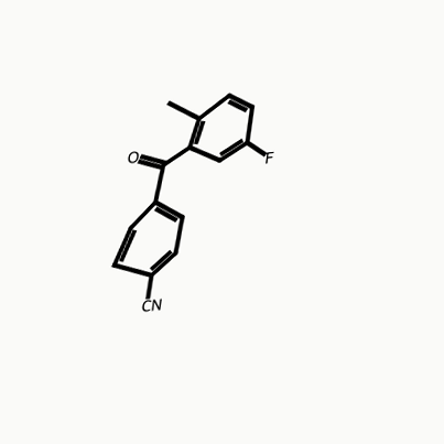 Cc1ccc(F)cc1C(=O)c1ccc(C#N)cc1